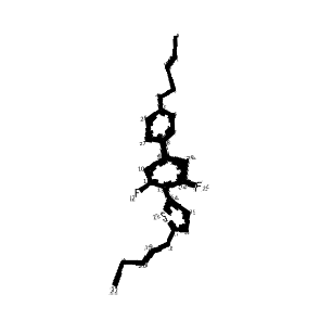 CCCCCc1ccc(-c2cc(F)c(-c3ccc(CCCCC)s3)c(F)c2)cc1